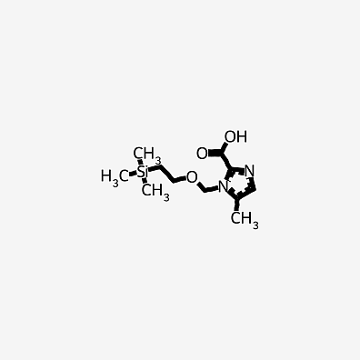 Cc1cnc(C(=O)O)n1COCC[Si](C)(C)C